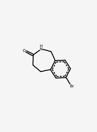 O=C1CCc2cc(Br)ccc2CN1